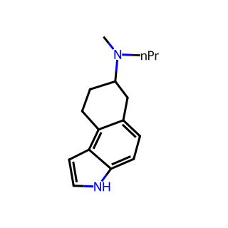 CCCN(C)C1CCc2c(ccc3[nH]ccc23)C1